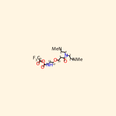 CNCCN(CCNC)C(=O)CCOCCNC(=O)OC(=O)C(F)(F)F